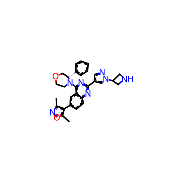 Cc1noc(C)c1-c1ccc2nc(-c3cnn(C4CNC4)c3)nc(N3CCOC[C@@H]3c3ccccc3)c2c1